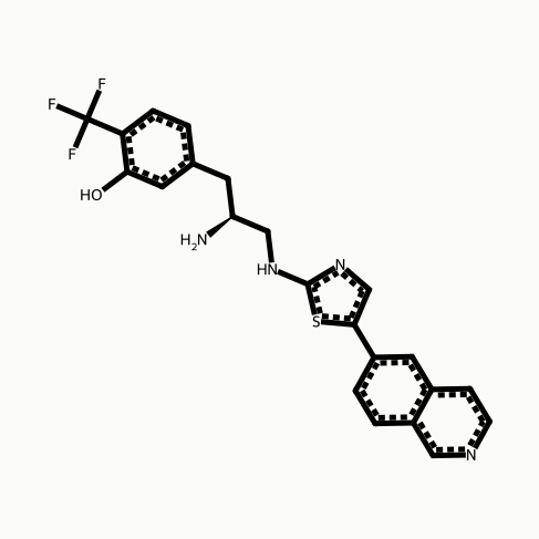 N[C@H](CNc1ncc(-c2ccc3cnccc3c2)s1)Cc1ccc(C(F)(F)F)c(O)c1